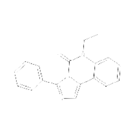 CCn1c(=O)n2c(-c3ccccc3)ncc2c2ccccc21